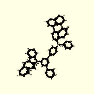 c1ccc(-c2cc(-c3ccc(N(c4ccccc4)c4ccc(-c5cccc6ccccc56)c5ccccc45)cc3)cc(-n3c4ccccc4c4cc5ccccc5cc43)c2)cc1